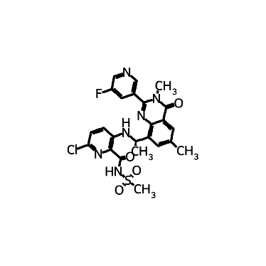 Cc1cc([C@@H](C)Nc2ccc(Cl)nc2C(=O)NS(C)(=O)=O)c2nc(-c3cncc(F)c3)n(C)c(=O)c2c1